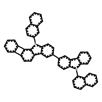 c1ccc2c(c1)-c1ccc3c4cc(-c5ccc6c(c5)c5ccccc5n6-c5cccc6ccccc56)ccc4n(-c4ccc5ccccc5c4)c3c1-2